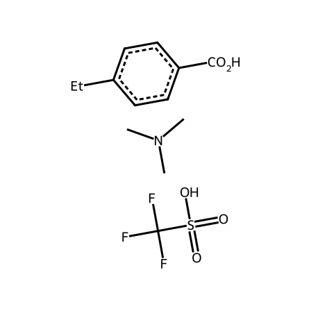 CCc1ccc(C(=O)O)cc1.CN(C)C.O=S(=O)(O)C(F)(F)F